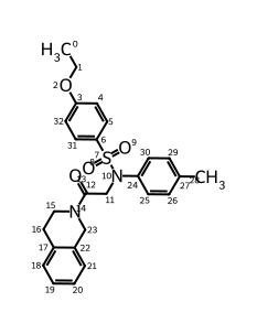 CCOc1ccc(S(=O)(=O)N(CC(=O)N2CCc3ccccc3C2)c2ccc(C)cc2)cc1